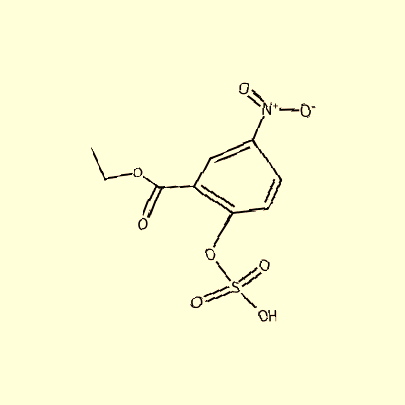 CCOC(=O)c1cc([N+](=O)[O-])ccc1OS(=O)(=O)O